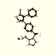 Cc1onc(-c2ccc(C(=O)N3CCCC3CO)cc2)c1-c1ccccc1